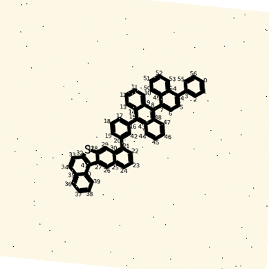 c1ccc(-c2ccc(-c3c4ccccc4c(-c4cccc(-c5cccc6cc7c(cc56)sc5ccc6ccccc6c57)c4)c4ccccc34)c3ccccc23)cc1